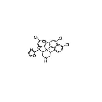 O=C(c1ncco1)C1CNCC(c2ccc(Cl)cc2)[N+]1(c1ccc(Cl)cc1)c1ccc(Cl)cc1Cl